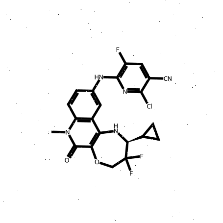 Cn1c(=O)c2c(c3cc(Nc4nc(Cl)c(C#N)cc4F)ccc31)N[C@@H](C1CC1)C(F)(F)CO2